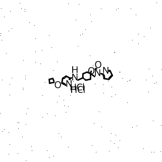 Cl.Cl.O=C1OC2(CCC(CNc3ccc(OC4CCC4)cn3)CC2)CN1c1ccccn1